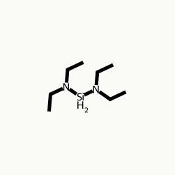 CCN(CC)[SiH2]N(CC)CC